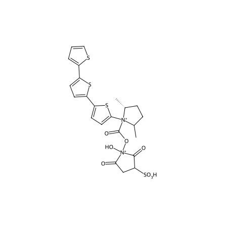 CC1CC[C@@H](C)[N+]1(C(=O)O[N+]1(O)C(=O)CC(S(=O)(=O)O)C1=O)c1ccc(-c2ccc(-c3cccs3)s2)s1